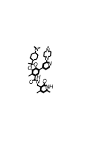 Cc1cc(C)c(CNC(=O)c2cc(-c3ccnc(N4CCN(C)CC4)c3)c3c(c2C)OC(C)(C2CCC(N(C)C)CC2)O3)c(=O)[nH]1